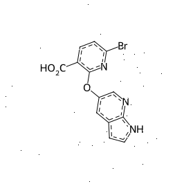 O=C(O)c1ccc(Br)nc1Oc1cnc2[nH]ccc2c1